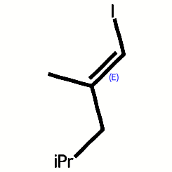 C/C(=C\I)CC(C)C